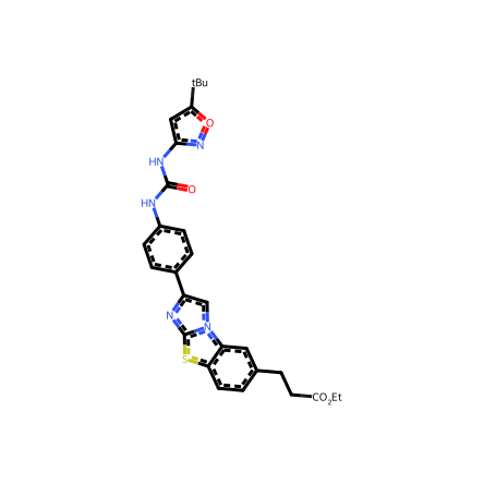 CCOC(=O)CCc1ccc2sc3nc(-c4ccc(NC(=O)Nc5cc(C(C)(C)C)on5)cc4)cn3c2c1